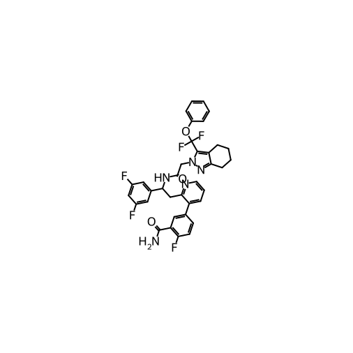 NC(=O)c1cc(-c2cccnc2CC(NC(=O)Cn2nc3c(c2C(F)(F)Oc2ccccc2)CCCC3)c2cc(F)cc(F)c2)ccc1F